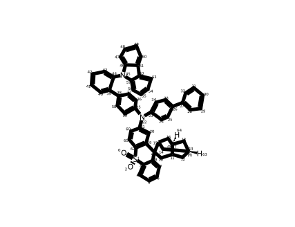 O=S1(=O)c2ccccc2C2(CC3C[C@@H]4CC2C[C@H]3C4)c2cc(N(c3ccc(-c4ccccc4)cc3)c3ccc(-c4ccccc4-n4c5ccccc5c5ccccc54)cc3)ccc21